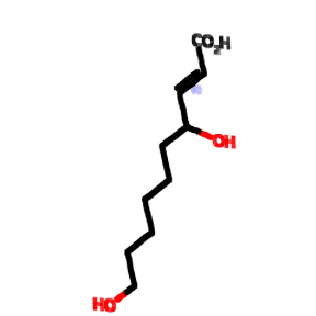 O=C(O)/C=C/C(O)CCCCCCO